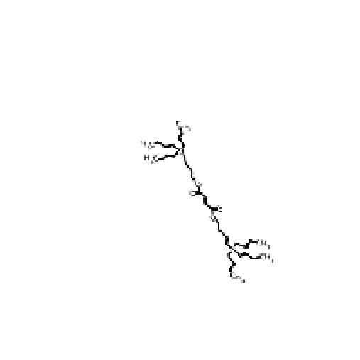 CCCC[Si](CCCC)(CCCC)CCCCOC(=O)/C=C/C(=O)OCCCC[Si](CCCC)(CCCC)CCCC